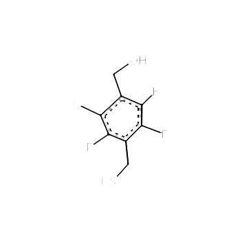 OCc1c(F)c(F)c(CS)c(F)c1F